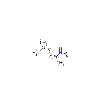 CN/C(C)=C\SC(C)C